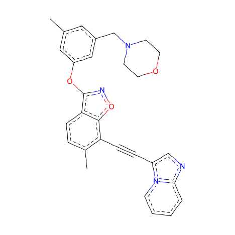 Cc1cc(CN2CCOCC2)cc(Oc2noc3c(C#Cc4cnc5ccccn45)c(C)ccc23)c1